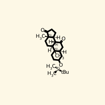 CC(C)(C)[Si](C)(C)OC1CC[C@@]2(C)[C@@H](CC(=O)[C@@H]3[C@@H]2CC[C@]2(C)C(=O)CC[C@@H]32)C1